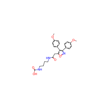 COc1ccc(-c2noc(CC(=O)NCCCCNC(=O)O)c2-c2ccc(OC)cc2)cc1